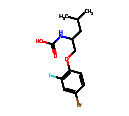 CC(C)CC(COc1ccc(Br)cc1F)NC(=O)O